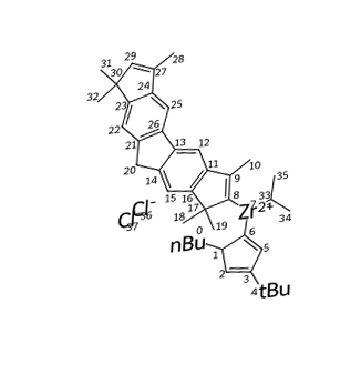 CCCCC1C=C(C(C)(C)C)C=[C]1[Zr+2]([C]1=C(C)c2cc3c(cc2C1(C)C)Cc1cc2c(cc1-3)C(C)=CC2(C)C)=[C](C)C.[Cl-].[Cl-]